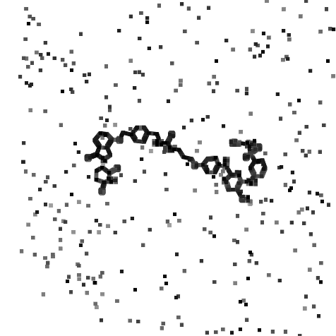 Cc1cnc(Nc2ccc(OCCCNC(=O)NCc3ccc(COc4cccc5c4CN([C@H]4CCC(=O)NC4=O)C5=O)cc3)cc2)nc1Nc1cccc(S(=O)(=O)NC(C)(C)C)c1